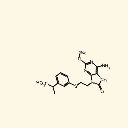 CCCCOc1nc(N)c2[nH]c(=O)n(CCSc3cccc(C(C)C(=O)O)c3)c2n1